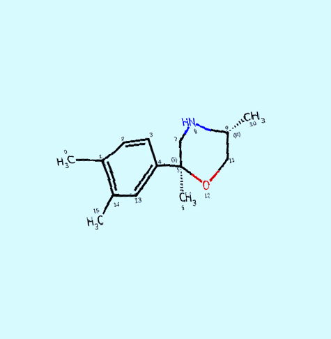 Cc1ccc([C@@]2(C)CN[C@H](C)CO2)cc1C